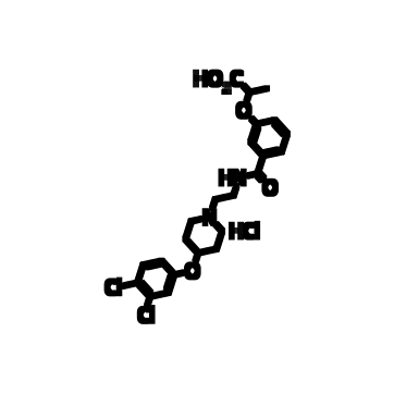 CC(Oc1cccc(C(=O)NCCN2CCC(Oc3ccc(Cl)c(Cl)c3)CC2)c1)C(=O)O.Cl